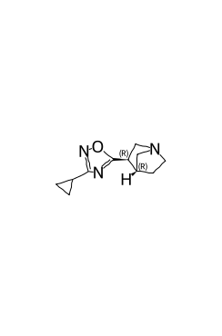 C1CC1c1noc([C@H]2CN3CC[C@H]2C3)n1